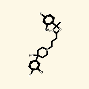 CC1(c2ccc(F)cc2N)OC(CCCN2CCC(O)(c3ccc(Cl)c(Cl)c3)CC2)O1